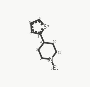 CCN1CCC(c2cccs2)CC1